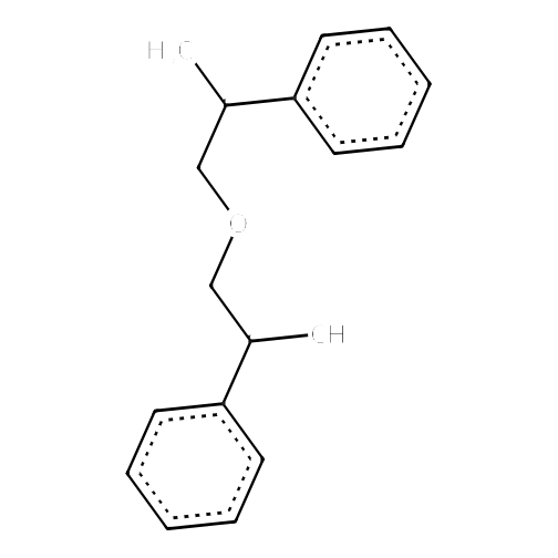 C[C](COC[C](C)c1ccccc1)c1ccccc1